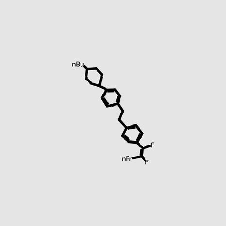 CCCCC1CCC(c2ccc(CCc3ccc(/C(F)=C(/F)CCC)cc3)cc2)CC1